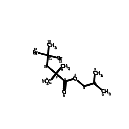 CC(C)COC(=O)C(C)(C)CC(C)(Br)Br